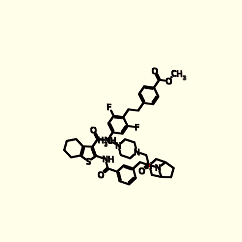 COC(=O)c1ccc(CCc2c(F)cc(NC(=O)c3c(NC(=O)c4cccc(CN5CC6CCC(C5)N6C(=O)CN5CCN(C)CC5)c4)sc4c3CCCC4)cc2F)cc1